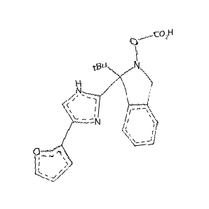 CC(C)(C)C1(c2nc(-c3ccco3)c[nH]2)c2ccccc2CN1OC(=O)O